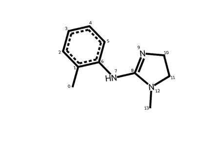 Cc1ccccc1NC1=NCCN1C